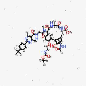 COC(=O)[C@@H]1Cc2cc(NC(C)=O)c(O)c(c2)-c2cc(ccc2OCCNC(=O)OC(C)(C)C)[C@H](N(C)C(=O)CNC(=O)c2c(C)nc(-c3ccc(C(C)(C)C)cc3)nc2C)C(=O)N[C@@H](C)C(=O)N1